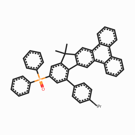 CC(C)c1ccc(-c2cc(P(=O)(c3ccccc3)c3ccccc3)cc3c2-c2cc4c5ccccc5c5ccccc5c4cc2C3(C)C)cc1